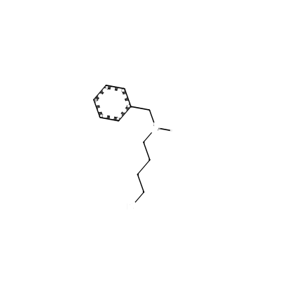 CN(CCCCS)Cc1ccccc1